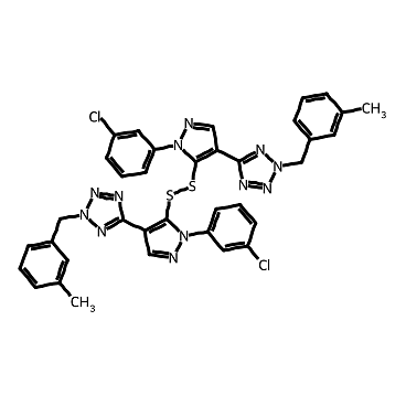 Cc1cccc(Cn2nnc(-c3cnn(-c4cccc(Cl)c4)c3SSc3c(-c4nnn(Cc5cccc(C)c5)n4)cnn3-c3cccc(Cl)c3)n2)c1